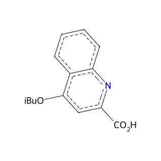 CC(C)COc1cc(C(=O)O)nc2ccccc12